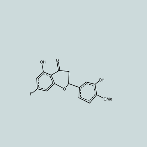 COc1ccc(C2CC(=O)c3c(O)cc(F)cc3O2)cc1O